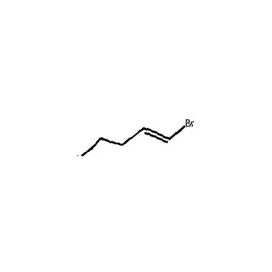 [CH2]CCC=CBr